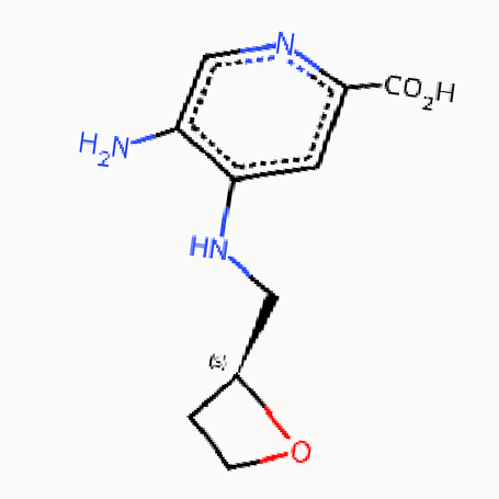 Nc1cnc(C(=O)O)cc1NC[C@@H]1CCO1